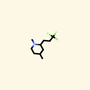 CC1CCN(C)C(CCC(F)(F)F)C1